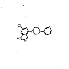 Clc1cc(N2CCC(c3ccccc3)CC2)c2cn[nH]c2c1